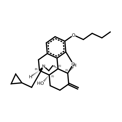 C=C1CC[C@@]2(O)[C@H]3Cc4ccc(OCCCC)c5c4[C@@]2(CCN3CC2CC2)[C@H]1O5